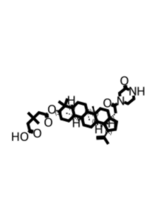 C=C(C)[C@@H]1CC[C@]2(CC(=O)N3CCNC(=O)C3)CC[C@]3(C)[C@H](CC[C@@H]4[C@@]5(C)CC[C@H](OC(=O)CC(C)(C)CC(=O)O)C(C)(C)[C@@H]5CC[C@]43C)[C@@H]12